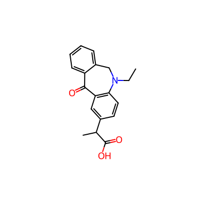 CCN1Cc2ccccc2C(=O)c2cc(C(C)C(=O)O)ccc21